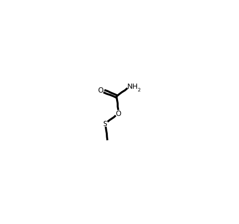 CSOC(N)=O